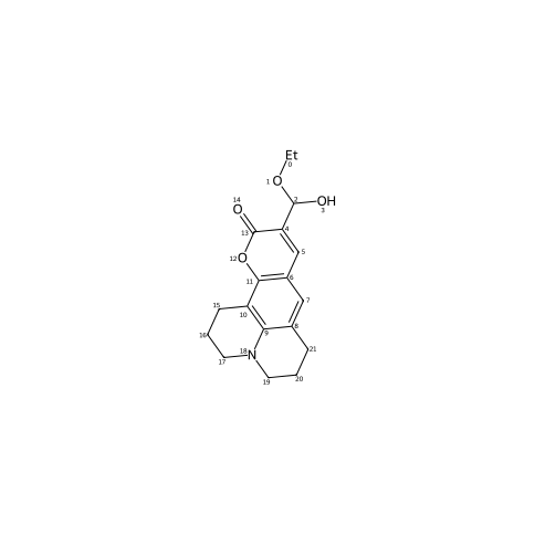 CCOC(O)c1cc2cc3c4c(c2oc1=O)CCCN4CCC3